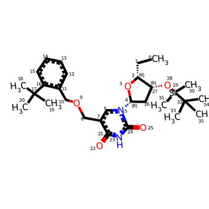 CC[C@H]1O[C@@H](n2cc(COCc3ccccc3C(C)(C)C)c(=O)[nH]c2=O)C[C@H]1O[Si](C)(C)C(C)(C)C